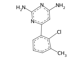 Cc1cccc(-c2cc(N)nc(N)n2)c1Cl